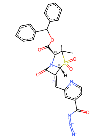 CC1(C)[C@H](C(=O)OC(c2ccccc2)c2ccccc2)N2C(=O)/C(=C/c3cc(C(=O)N=[N+]=[N-])ccn3)[C@H]2S1(=O)=O